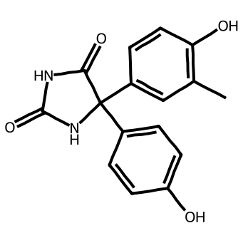 Cc1cc(C2(c3ccc(O)cc3)NC(=O)NC2=O)ccc1O